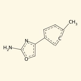 Cc1ccc(-c2coc(N)n2)cc1